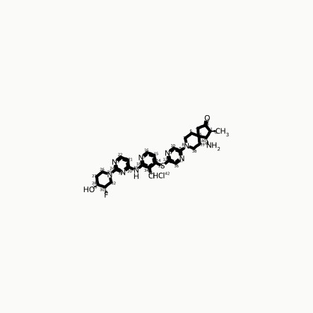 C[C@@H]1C(=O)CC2(CCN(c3cnc(Sc4ccnc(Nc5ccnc(N6CC[C@@H](O)[C@@H](F)C6)n5)c4Cl)cn3)CC2)[C@H]1N.Cl